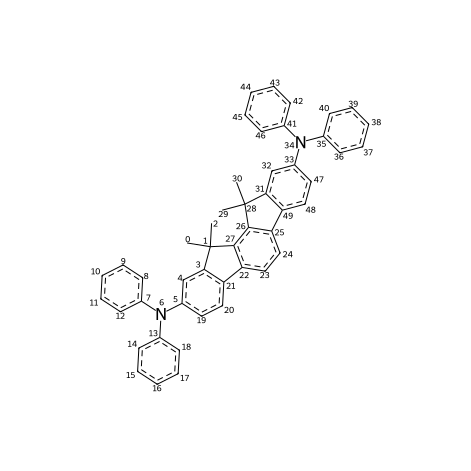 CC1(C)c2cc(N(c3ccccc3)c3ccccc3)ccc2-c2ccc3c(c21)C(C)(C)c1cc(N(c2ccccc2)c2ccccc2)ccc1-3